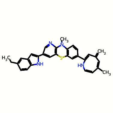 C=C1/C=C(C)\C=C/N/C(c2ccc3c(c2)Sc2cc(-c4cc5cc(CC)ccc5[nH]4)cnc2N3C)=C\1